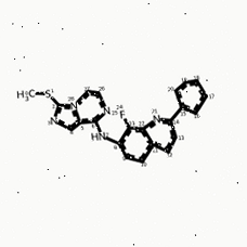 CSc1ncc2c(Nc3ccc4ccc(-c5ccccc5)nc4c3F)nccn12